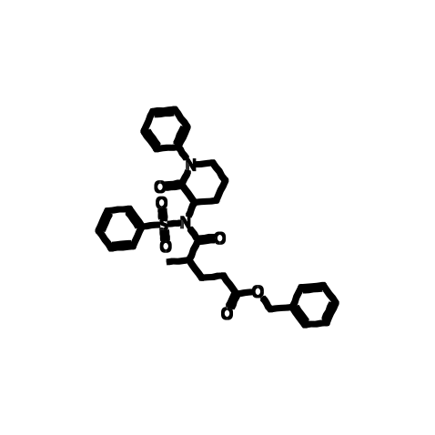 CC(CCC(=O)OCc1ccccc1)C(=O)N(C1CCCN(c2ccccc2)C1=O)S(=O)(=O)c1ccccc1